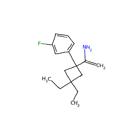 C=C(N)C1(c2cccc(F)c2)CC(CC)(CC)C1